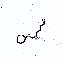 C[C@@H](CCCC=O)COC1CCCCO1